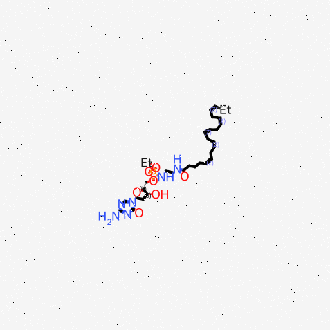 CC/C=C\C/C=C\C/C=C\C/C=C\C/C=C\CCCC(=O)NCCNP(=O)(OCC)OC[C@H]1OC(n2cnc(N)nc2=O)C[C@@H]1O